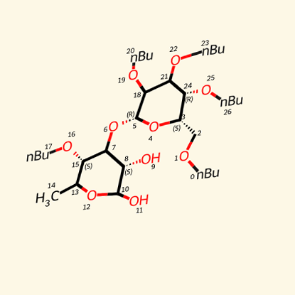 CCCCOC[C@@H]1O[C@H](OC2[C@H](O)C(O)OC(C)[C@@H]2OCCCC)C(OCCCC)C(OCCCC)[C@@H]1OCCCC